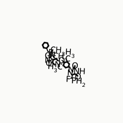 CB(Cc1ccccc1)N(C)S1(=O)=NOc2cnc(Oc3c(C)cc(-n4nc(C(F)P)c(=O)[nH]c4=O)cc3C)cc21